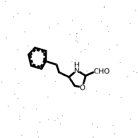 O=CC1NC(CCc2ccccc2)CO1